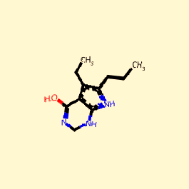 CCCc1[nH]c2c(c1CC)C(O)=NCN2